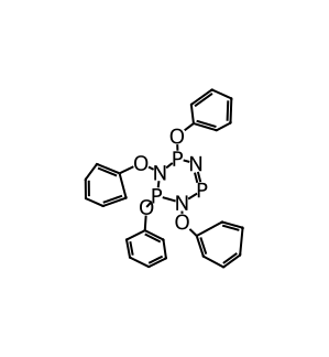 c1ccc(On2pnp(Oc3ccccc3)n(Oc3ccccc3)p2Oc2ccccc2)cc1